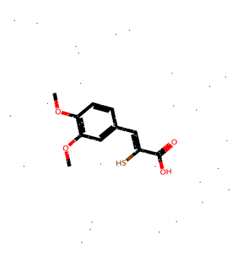 COc1ccc(C=C(S)C(=O)O)cc1OC